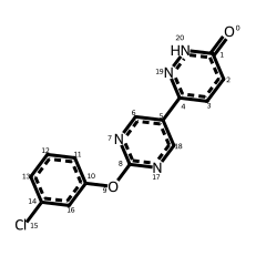 O=c1ccc(-c2cnc(Oc3cccc(Cl)c3)nc2)n[nH]1